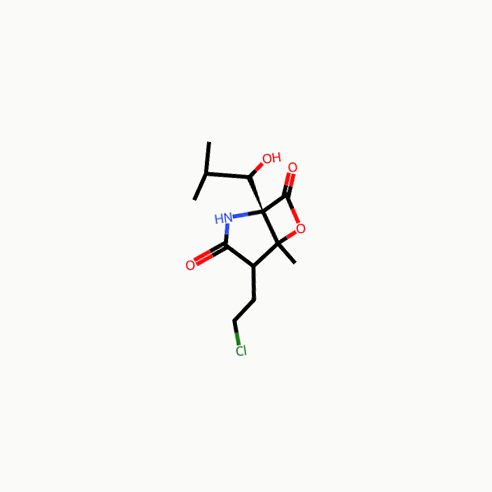 CC(C)C(O)[C@]12NC(=O)C(CCCl)C1(C)OC2=O